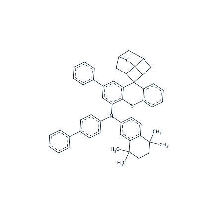 CC1(C)CCC(C)(C)c2cc(N(c3ccc(-c4ccccc4)cc3)c3cc(-c4ccccc4)cc4c3Sc3ccccc3C43C4CC5CC6CC3C64C5)ccc21